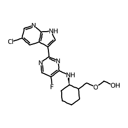 OCOCC1CCCC[C@H]1Nc1nc(-c2c[nH]c3ncc(Cl)cc23)ncc1F